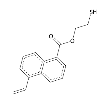 C=Cc1cccc2c(C(=O)OCCS)cccc12